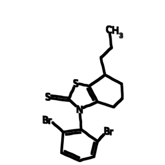 CCCC1CCCc2c1sc(=S)n2-c1c(Br)cccc1Br